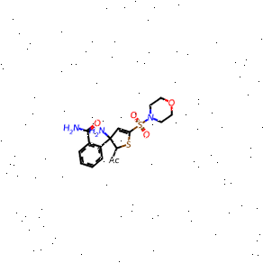 CC(=O)C1SC(S(=O)(=O)N2CCOCC2)=CC1(N)c1ccccc1C(N)=O